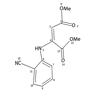 COC(=O)C=C(Nc1ccccc1C#N)C(=O)OC